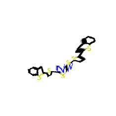 c1ccc2sc(-c3ccc(-c4nc5sc(-c6ccc(-c7cc8ccccc8s7)s6)nc5s4)s3)cc2c1